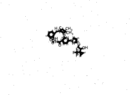 CC1(C)C[C@]2(C)Cc3ccccc3S(=O)(=O)NC(=O)c3ccc(-n4ccc(OCC(O)C5(C(F)(F)F)CC5)n4)nc3N1C2